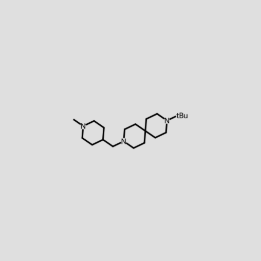 CN1CCC(CN2CCC3(CC2)CCN(C(C)(C)C)CC3)CC1